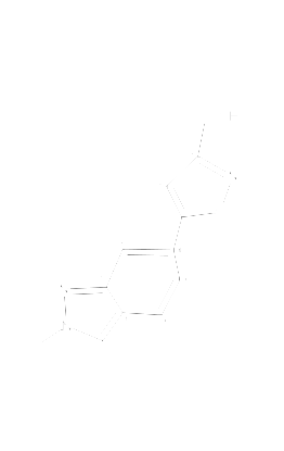 Cn1cc2ccc(-c3cc(C(=O)O)no3)cc2n1